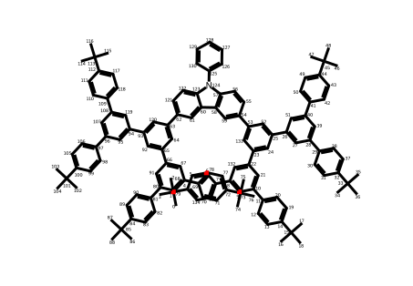 CC(C)(C)c1ccc(-c2cc(-c3ccc(C(C)(C)C)cc3)cc(-c3cc(-c4cc(-c5ccc(C(C)(C)C)cc5)cc(-c5ccc(C(C)(C)C)cc5)c4)cc(-c4ccc5c(c4)c4cc(-c6cc(-c7cc(-c8ccc(C(C)(C)C)cc8)cc(-c8ccc(C(C)(C)C)cc8)c7)cc(-c7cc(-c8ccc(C(C)(C)C)cc8)cc(-c8ccc(C(C)(C)C)cc8)c7)c6)ccc4n5-c4ccccc4)c3)c2)cc1